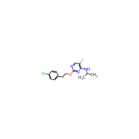 CC(C)Nc1nc(OCCc2ccc(Cl)cc2)ncc1F